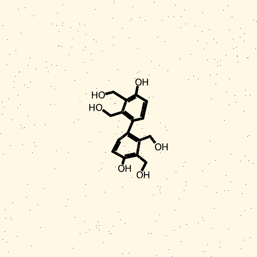 OCc1c(O)ccc(-c2ccc(O)c(CO)c2CO)c1CO